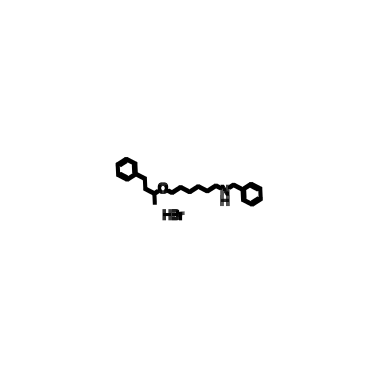 Br.CC(CCc1ccccc1)OCCCCCCNCc1ccccc1